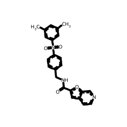 Cc1cc(C)cc(S(=O)(=O)c2ccc(CNC(=O)c3cc4ccncc4o3)cc2)c1